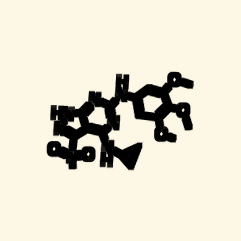 COc1cc(Nc2nc(NC3CC3)c3c(S(C)(=O)=O)n[nH]c3n2)cc(OC)c1OC